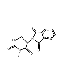 CN1C(=O)NCC(N2C(=O)c3ccccc3C2=O)C1=O